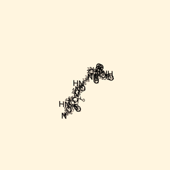 CCc1cc2c(cc1N1CCN(CC(=O)NCCCCNc3cccc4c(=C=O)n(C5CCC(=C=O)NC5=C=O)c(=C=O)c34)CC1)C(C)(C)c1[nH]c3cc(C#N)ccc3c1C2=C=O